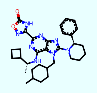 CC1CCC(Cn2c(N3CCCC[C@@H]3c3ccccc3)nc3nc(-c4noc(=O)[nH]4)nc(N[C@H](C)C4CCC4)c32)CC1